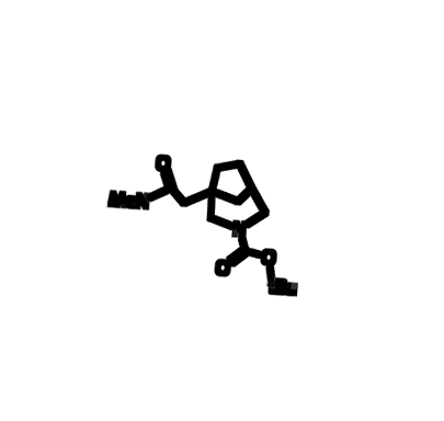 CNC(=O)CC12CCC(CN(C(=O)OC(C)(C)C)C1)C2